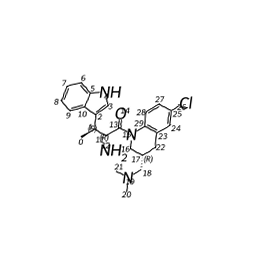 C[C@@H](c1c[nH]c2ccccc12)[C@@H](N)C(=O)N1C[C@@H](CN(C)C)Cc2cc(Cl)ccc21